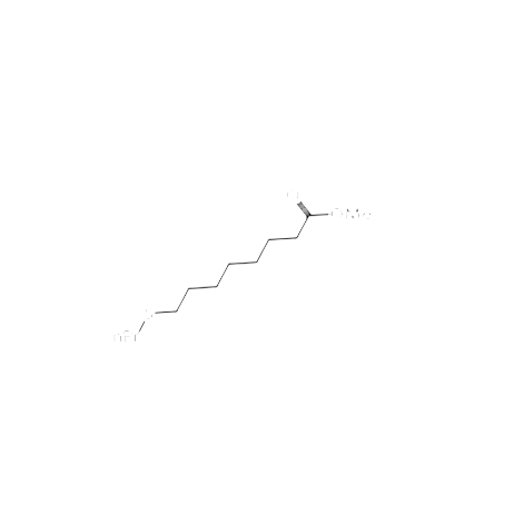 CCCSCCCCCCCC(=O)OC